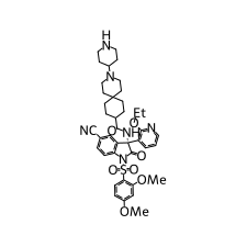 CCOc1ncccc1[C@@]1(NC(=O)C2CCC3(CC2)CCN(C2CCNCC2)CC3)C(=O)N(S(=O)(=O)c2ccc(OC)cc2OC)c2ccc(C#N)cc21